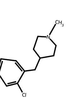 CN1CCC(Cc2ccccc2Cl)CC1